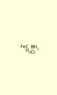 B.C.[Cr].[Fe]